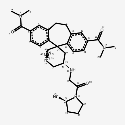 CN(C)C(=O)c1ccc2c(c1)CCc1cc(C(=O)N(C)C)ccc1C21C[C@H](NCC(=O)N2CCC[C@H]2C#N)Cn2nnnc21